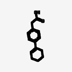 O=C(O)Cc1ccc(C2=CCCCC2)cc1